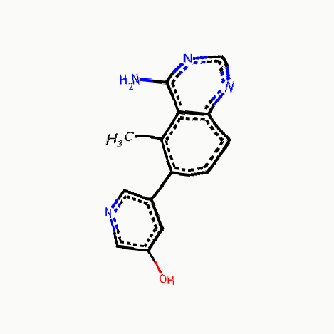 Cc1c(-c2cncc(O)c2)ccc2ncnc(N)c12